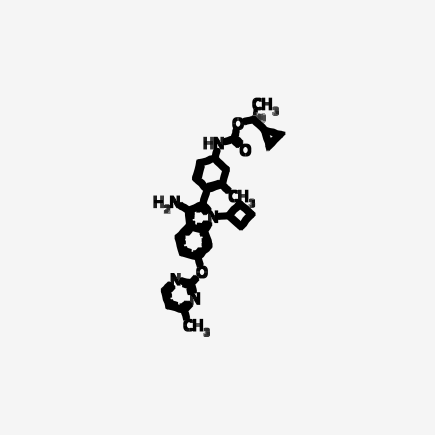 CC1=C(c2c(N)c3ccc(Oc4nccc(C)n4)cc3n2C2CCC2)C=CC(NC(=O)O[C@H](C)C2CC2)C1